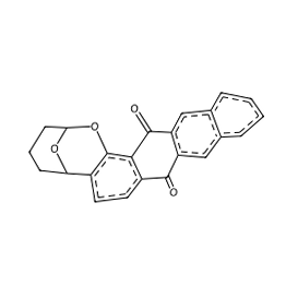 O=C1c2cc3ccccc3cc2C(=O)c2c1ccc1c2OC2CCCC1O2